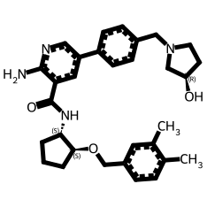 Cc1ccc(CO[C@H]2CCC[C@@H]2NC(=O)c2cc(-c3ccc(CN4CC[C@@H](O)C4)cc3)cnc2N)cc1C